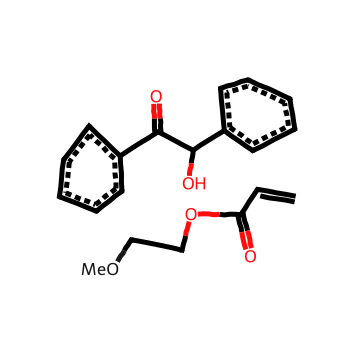 C=CC(=O)OCCOC.O=C(c1ccccc1)C(O)c1ccccc1